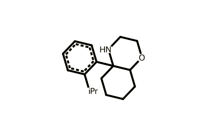 CC(C)c1ccccc1C12CCCCC1OCCN2